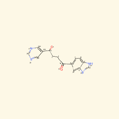 O=C(CCC(=O)c1ccc2[nH]cnc2c1)c1cncnc1